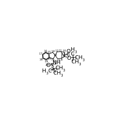 CC(C)(C)OC(=O)N1C2CCC1CC1(Cc3ccccc3[C@H]1N[S@+]([O-])C(C)(C)C)C2